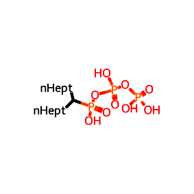 CCCCCCCC(CCCCCCC)P(=O)(O)OP(=O)(O)OP(=O)(O)O